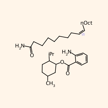 CC1CCC(C(C)C)C(OC(=O)c2ccccc2N)C1.CCCCCCCC/C=C\CCCCCCCC(N)=O